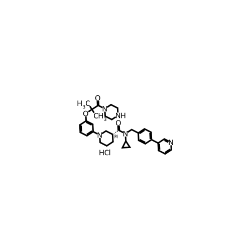 CC(C)(Oc1cccc(N2CCC[C@@H](C(=O)N(Cc3ccc(-c4cccnc4)cc3)C3CC3)C2)c1)C(=O)N1CCNCC1.Cl